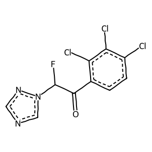 O=C(c1ccc(Cl)c(Cl)c1Cl)C(F)n1cncn1